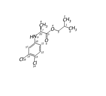 CC(C)COC(=O)[C@H](C)Nc1ccc(Cl)c(Cl)c1